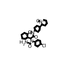 NC(=O)N(c1ccc(Cl)cc1)C(C(=O)Nc1ccc(-c2cccc[n+]2[O-])cc1)c1ccccc1Cl